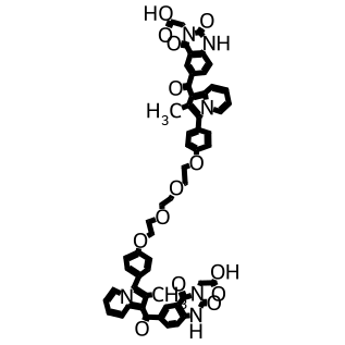 Cc1c(C(=O)c2ccc3[nH]c(=O)n(CC(=O)O)c(=O)c3c2)c2ccccn2c1-c1ccc(OCCOCCOCCOc2ccc(-c3c(C)c(C(=O)c4ccc5[nH]c(=O)n(CC(=O)O)c(=O)c5c4)c4ccccn34)cc2)cc1